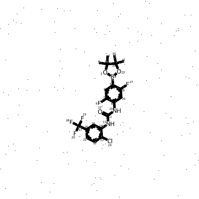 CC1(C)OB(c2cc(F)c(NC(=O)Nc3cc(C(F)(F)F)ccc3Cl)cc2F)OC1(C)C